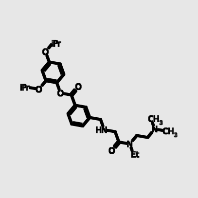 CCN(CCN(C)C)C(=O)CNCc1cccc(C(=O)Oc2ccc(OC(C)C)cc2OC(C)C)c1